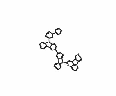 c1ccc(-c2cccc(-n3c4ccccc4c4cc(-c5ccc6c(c5)c5ccccc5n6-c5cc6c7c(cccc7n5)-c5ccncc5-6)ccc43)c2)cc1